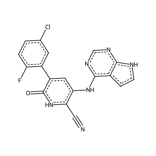 N#Cc1[nH]c(=O)c(-c2cc(Cl)ccc2F)cc1Nc1ncnc2[nH]ccc12